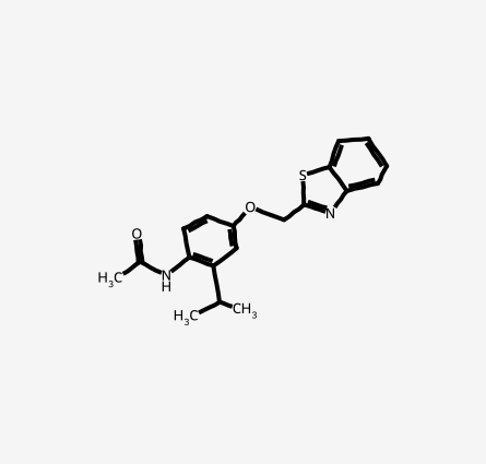 CC(=O)Nc1ccc(OCc2nc3ccccc3s2)cc1C(C)C